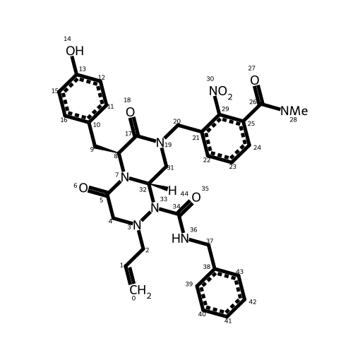 C=CCN1CC(=O)N2[C@@H](Cc3ccc(O)cc3)C(=O)N(Cc3cccc(C(=O)NC)c3[N+](=O)[O-])C[C@@H]2N1C(=O)NCc1ccccc1